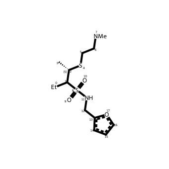 CCC([C@H](C)SCCNC)S(=O)(=O)NCc1ccco1